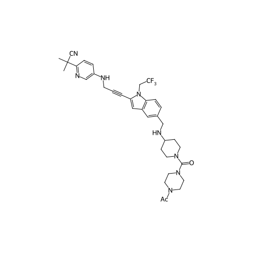 CC(=O)N1CCN(C(=O)N2CCC(NCc3ccc4c(c3)cc(C#CCNc3ccc(C(C)(C)C#N)nc3)n4CC(F)(F)F)CC2)CC1